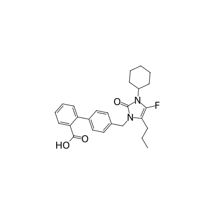 CCCc1c(F)n(C2CCCCC2)c(=O)n1Cc1ccc(-c2ccccc2C(=O)O)cc1